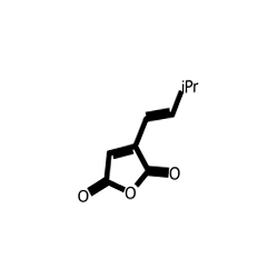 CC(C)C=CC1=CC(=O)OC1=O